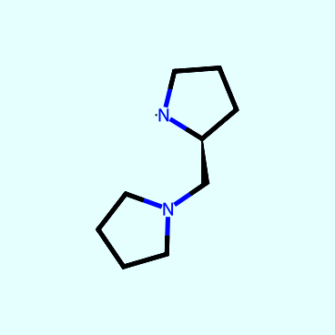 C1C[N][C@H](CN2CCCC2)C1